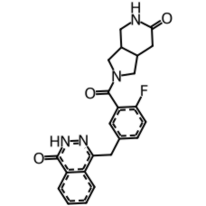 O=C1CC2CN(C(=O)c3cc(Cc4n[nH]c(=O)c5ccccc45)ccc3F)CC2CN1